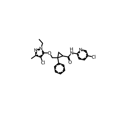 CCn1nc(C)c(Cl)c1OCC1(c2ccccc2)CC1C(=O)Nc1ccc(Cl)cn1